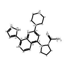 NC(=O)[C@H]1CCCN1c1cc(N2CCOCC2)nc2c(-c3ccn[nH]3)nccc12